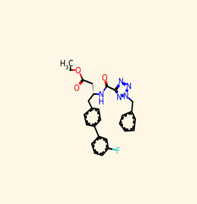 CCOC(=O)C[C@@H](Cc1ccc(-c2cccc(F)c2)cc1)NC(=O)c1nnn(Cc2ccccc2)n1